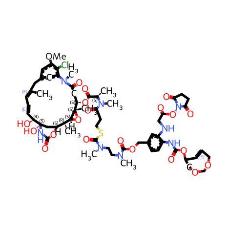 COc1cc2cc(c1Cl)N(C)C(=O)C[C@H](OC(=O)[C@H](C)N(C)C(=O)CCSC(=O)N(C)CCN(C)C(=O)OCc1ccc(NC(=O)OC3/C=C/COCOC3)c(NCC(=O)ON3C(=O)CCC3=O)c1)[C@]1(C)O[C@H]1[C@H](C)[C@@H]1C[C@@](O)(NC(=O)O1)[C@H](O)/C=C/C=C(\C)C2